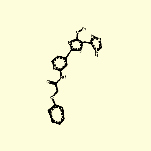 CCOc1nc(-c2ccnc(NC(=O)COc3ccccc3)c2)sc1-c1nnc[nH]1